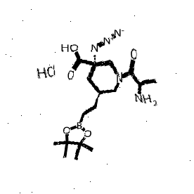 CC(N)C(=O)N1C[C@@H](CCB2OC(C)(C)C(C)(C)O2)C[C@@](N=[N+]=[N-])(C(=O)O)C1.Cl